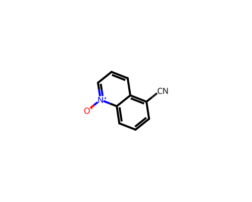 N#Cc1cccc2c1ccc[n+]2[O-]